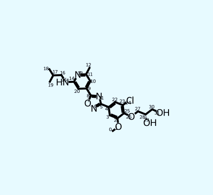 COc1cc(-c2noc(-c3cc(C)nc(NCC(C)C)c3)n2)cc(Cl)c1OC[C@@H](O)CO